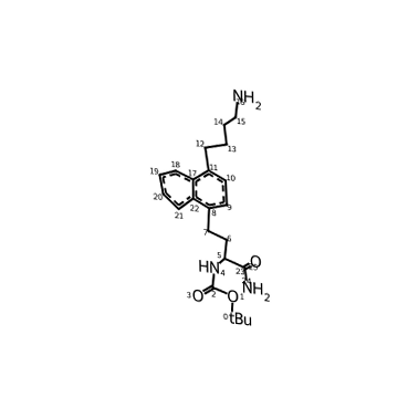 CC(C)(C)OC(=O)NC(CCc1ccc(CCCCN)c2ccccc12)C(N)=O